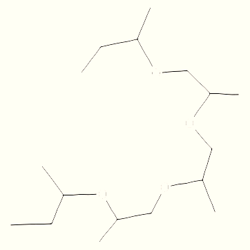 CCC(C)OCC(C)OCC(C)OCC(C)OC(C)CC